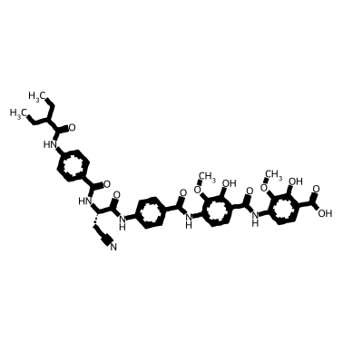 CCC(CC)C(=O)Nc1ccc(C(=O)N[C@@H](CC#N)C(=O)Nc2ccc(C(=O)Nc3ccc(C(=O)Nc4ccc(C(=O)O)c(O)c4OC)c(O)c3OC)cc2)cc1